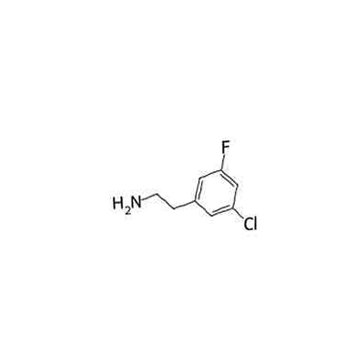 NCCc1cc(F)cc(Cl)c1